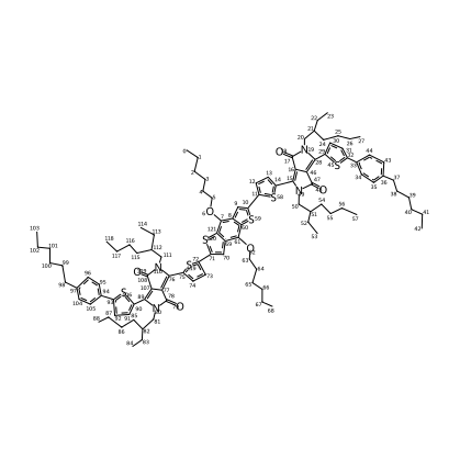 CCCCCCOc1c2cc(-c3ccc(C4=C5C(=O)N(CC(CC)CCCC)C(c6ccc(-c7ccc(CCCCCC)cc7)s6)=C5C(=O)N4CC(CC)CCCC)s3)sc2c(OCCCCCC)c2cc(-c3ccc(C4=C5C(=O)N(CC(CC)CCCC)C(c6ccc(-c7ccc(CCCCCC)cc7)s6)=C5C(=O)N4CC(CC)CCCC)s3)sc12